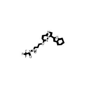 O=C(/N=[SH](=O)/CCCOc1ccc2ncc(-c3cc4ccccc4o3)n2n1)C(F)(F)F